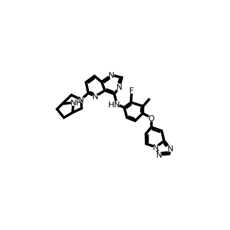 Cc1c(Oc2ccn3ncnc3c2)ccc(Nc2ncnc3ccc(N4CC5CCC(C4)N5)nc23)c1F